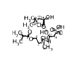 C=C(C)C(=O)OCC[N+](C)(C)CC(O)CS(=O)(=O)O.C[N+](C)(C)CC(=O)O